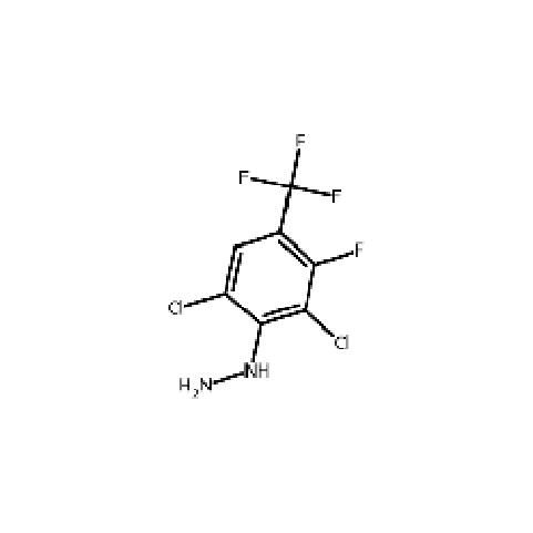 NNc1c(Cl)cc(C(F)(F)F)c(F)c1Cl